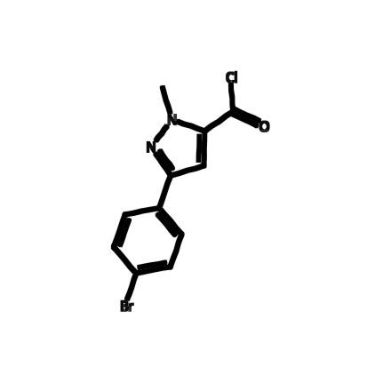 Cn1nc(-c2ccc(Br)cc2)cc1C(=O)Cl